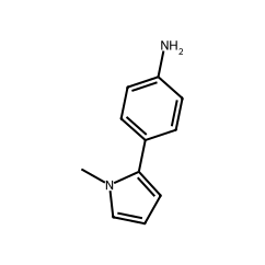 Cn1cccc1-c1ccc(N)cc1